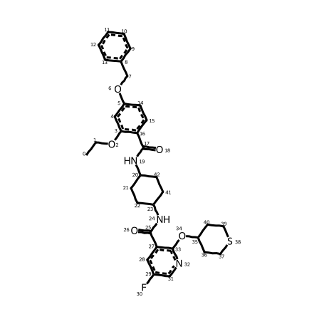 CCOc1cc(OCc2ccccc2)ccc1C(=O)NC1CCC(NC(=O)c2cc(F)cnc2OC2CCSCC2)CC1